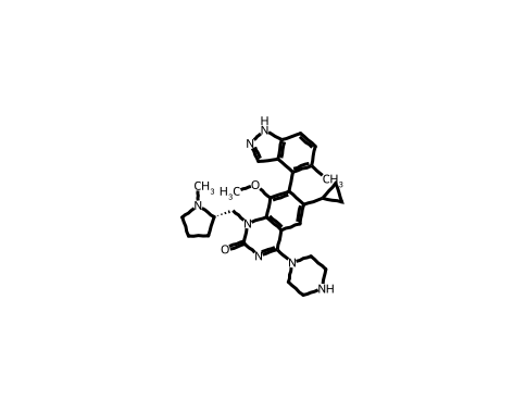 COc1c(-c2c(C)ccc3[nH]ncc23)c(C2CC2)cc2c(N3CCNCC3)nc(=O)n(C[C@@H]3CCCN3C)c12